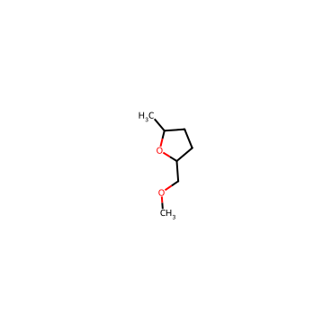 COCC1CCC(C)O1